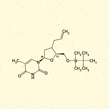 C=CCC1C[C@H](n2cc(C)c(=O)[nH]c2=O)O[C@@H]1CO[Si](C)(C)C(C)(C)C